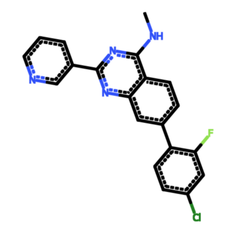 CNc1nc(-c2cccnc2)nc2cc(-c3ccc(Cl)cc3F)ccc12